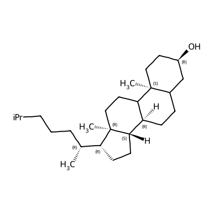 CC(C)CCC[C@@H](C)[C@H]1CC[C@H]2[C@@H]3CCC4C[C@H](O)CC[C@]4(C)C3CC[C@]12C